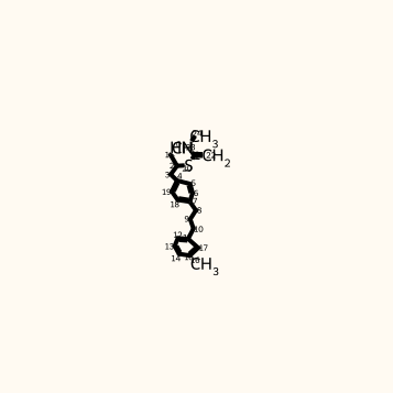 C=CC(Cc1ccc(CCCc2cccc(C)c2)cc1)SC(=C)NC